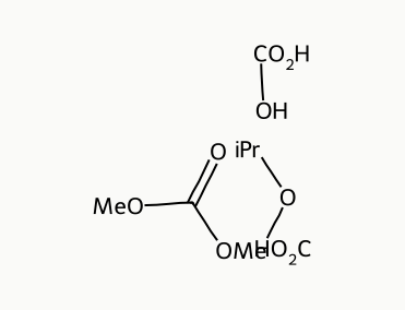 CC(C)OC(=O)O.COC(=O)OC.O=C(O)O